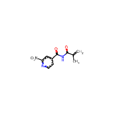 C=C(C)C(=O)NC(=O)c1ccnc([N+](=O)[O-])c1